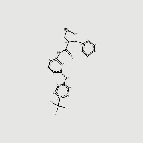 O=C(Nc1cccc(Oc2ccc(C(F)(F)F)nc2)c1)C1CNCC1c1ccccc1